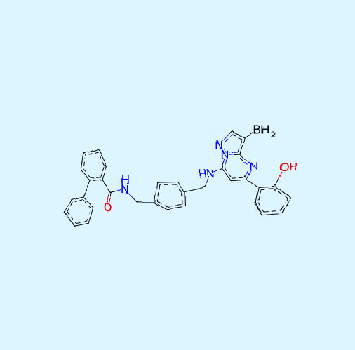 Bc1cnn2c(NCc3ccc(CNC(=O)c4ccccc4-c4ccccc4)cc3)cc(-c3ccccc3O)nc12